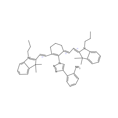 CCCN1/C(=C/C=C2\CCCC(/C=C/C3=[N+](CCC)c4ccccc4C3(C)C)=C2n2cc(-c3ccccc3N)nn2)C(C)(C)c2ccccc21